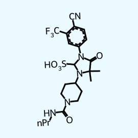 CCCNC(=O)N1CCC(N2C(S(=O)(=O)O)N(c3ccc(C#N)c(C(F)(F)F)c3)C(=O)C2(C)C)CC1